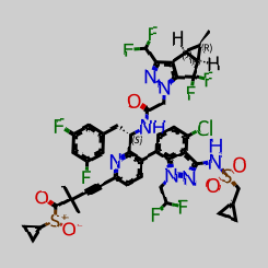 C[C@@H]1[C@@H]2c3c(C(F)F)nn(CC(=O)N[C@@H](Cc4cc(F)cc(F)c4)c4nc(C#CC(C)(C)C(=O)[S+]([O-])C5CC5)ccc4-c4ccc(Cl)c5c(NS(=O)(=O)CC6CC6)nn(CC(F)F)c45)c3C(F)(F)[C@H]12